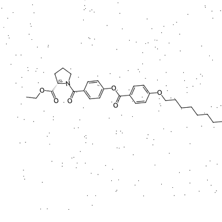 CCCCCCCCOc1ccc(C(=O)Oc2ccc(C(=O)N3CCC[C@H]3C(=O)OCC)cc2)cc1